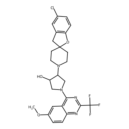 COc1ccc2nc(C(F)(F)F)nc(N3CC(O)C(N4CCC5(CC4)Cc4cc(Cl)ccc4O5)C3)c2c1